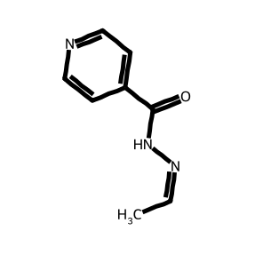 C/C=N\NC(=O)c1ccncc1